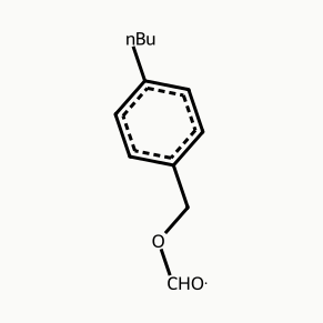 CCCCc1ccc(CO[C]=O)cc1